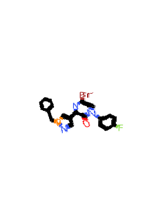 O=c1c(-c2cnp(Cc3ccccc3)c2)nc(Br)cn1-c1ccc(F)cc1